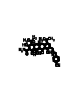 CN(C)c1cc(CNCc2ccc(C#N)cc2)c(O)c2c1C[C@H]1C[C@@H]3C(N(C)C)C(O)=C(C(N)=O)C(=O)[C@@]3(O)C(O)=C1C2=O